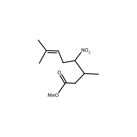 COC(=O)CC(C)C(CC=C(C)C)[N+](=O)[O-]